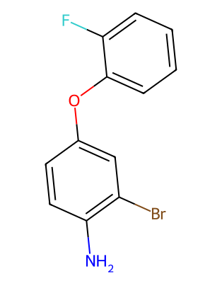 Nc1ccc(Oc2ccccc2F)cc1Br